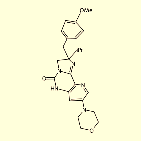 COc1ccc(CC2(C(C)C)CN3C(=O)Nc4cc(N5CCOCC5)cnc4C3=N2)cc1